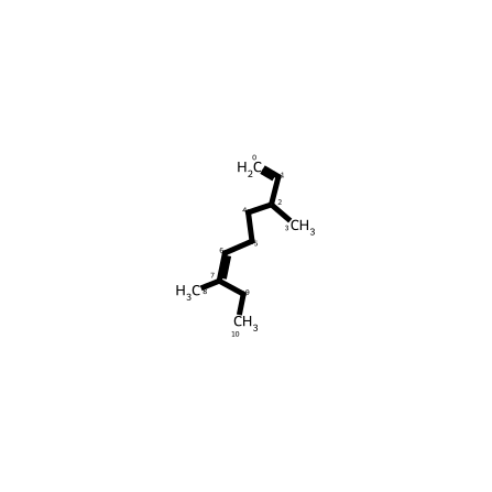 C=CC(C)CCC=C(C)CC